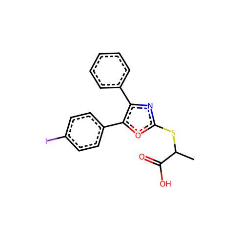 CC(Sc1nc(-c2ccccc2)c(-c2ccc(I)cc2)o1)C(=O)O